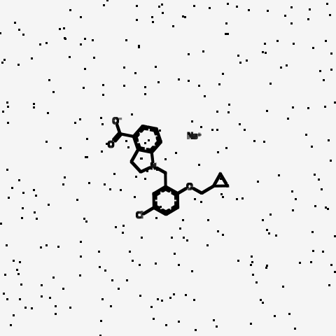 O=C([O-])c1cccc2c1CCN2Cc1cc(Cl)ccc1OCC1CC1.[Na+]